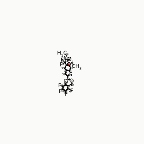 CCOP(=O)(OCC)C(F)(F)c1ccc2sc(C(=O)Oc3c(F)c(F)c(F)c(F)c3F)cc2c1